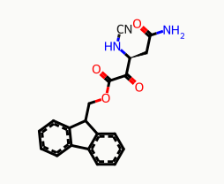 N#CN[C@@H](CC(N)=O)C(=O)C(=O)OCC1c2ccccc2-c2ccccc21